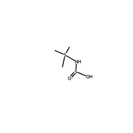 CS(C)(C)NS(=O)O